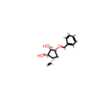 C=C[C@H]1C[C@H](OCc2ccccc2)[C@H](O)[C@@H]1O